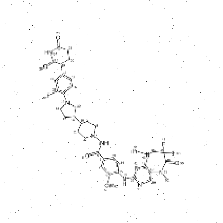 COc1cc(C(=O)NN2CCC(C3CCN(c4ccc(C5CCC(=O)NC5=O)cc4F)C3)CC2)ccc1Nc1ncc2c(n1)N(C(C)C)CC(F)(F)C(=O)N2C